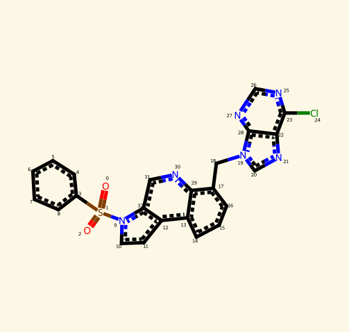 O=S(=O)(c1ccccc1)n1ccc2c3cccc(Cn4cnc5c(Cl)ncnc54)c3ncc21